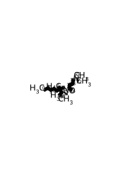 CCCCCCC(C)(CCC)CN(CC)C(=O)/C=C/CN(C)C